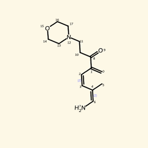 C=C(/C=C\C(C)=C/N)C(=O)CCN1CCOCC1